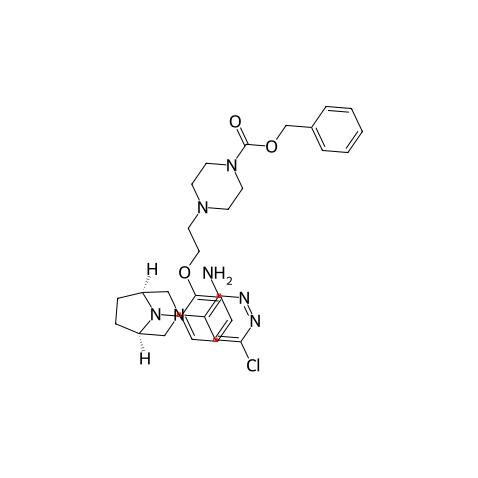 Nc1nnc(Cl)cc1N1C[C@H]2CC[C@@H](C1)N2c1ccccc1OCCN1CCN(C(=O)OCc2ccccc2)CC1